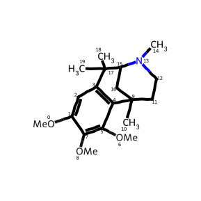 COc1cc2c(c(OC)c1OC)C1(C)CCN(C)C(C1)C2(C)C